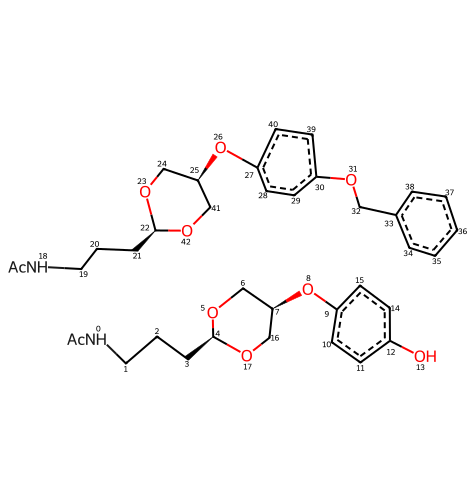 CC(=O)NCCC[C@H]1OC[C@@H](Oc2ccc(O)cc2)CO1.CC(=O)NCCC[C@H]1OC[C@@H](Oc2ccc(OCc3ccccc3)cc2)CO1